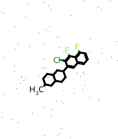 CC1CCC2CC(c3cc4cccc(F)c4c(F)c3Cl)CCC2C1